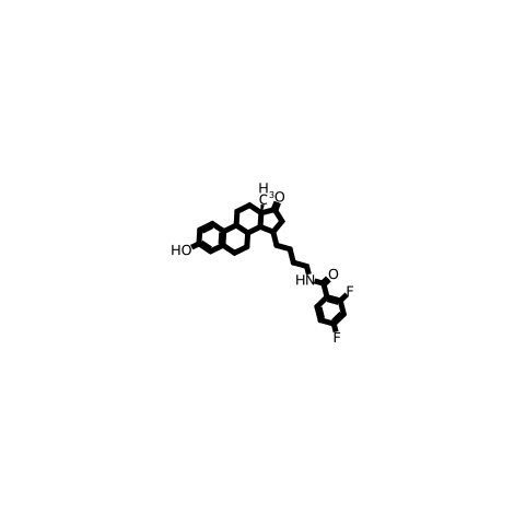 C[C@]12CCC3c4ccc(O)cc4CCC3C1C(CCCCNC(=O)c1ccc(F)cc1F)CC2=O